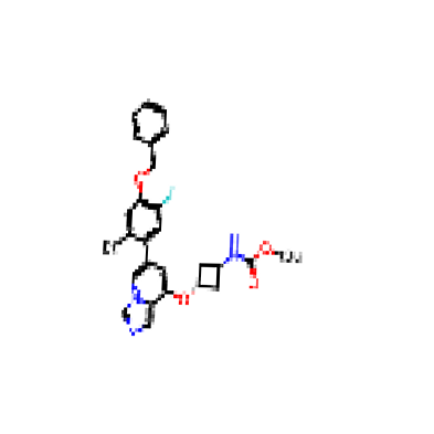 CCc1cc(OCc2ccccc2)c(F)cc1-c1cc(O[C@H]2C[C@H](NC(=O)OC(C)(C)C)C2)c2cncn2c1